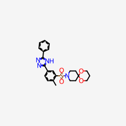 Cc1ccc(-c2nnc(-c3ccccc3)[nH]2)cc1S(=O)(=O)N1CCC2(CC1)OCCCO2